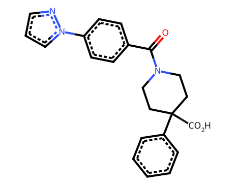 O=C(c1ccc(-n2cccn2)cc1)N1CCC(C(=O)O)(c2ccccc2)CC1